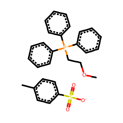 COCC[P+](c1ccccc1)(c1ccccc1)c1ccccc1.Cc1ccc(S(=O)(=O)[O-])cc1